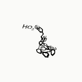 CN(C)Cc1c(OC[C@@H]2CCCC[C@H]2O[Si](c2ccccc2)(c2ccccc2)C(C)(C)C)ccc2c(CCC3CCN(C(=O)O)CC3)noc12